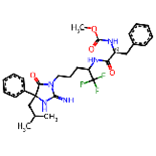 COC(=O)N[C@@H](Cc1ccccc1)C(=O)NC(CCCN1C(=N)NC(CC(C)C)(c2ccccc2)C1=O)C(F)(F)F